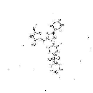 O=C1NC(=S)S/C1=C\c1cn(-c2ccccc2)nc1-c1ccc(S(=O)(=O)N2CCOCC2)cc1